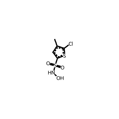 Cc1cc(S(=O)(=O)NO)sc1Cl